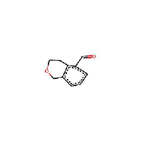 O=Cc1cccc2c1CCOC2